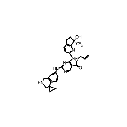 C=CCn1c(=O)c2cnc(Nc3ccc4c(c3)CNCC43CC3)nc2n1-c1ccc2c(n1)[C@@](O)(C(F)(F)F)CC2